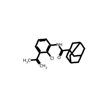 C=C(C)c1cccc(NC(=O)C23CC4CC(CC(C4)C2)C3)c1Cl